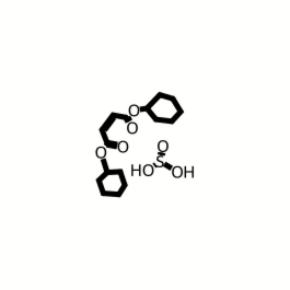 O=C(/C=C\C(=O)OC1CCCCC1)OC1CCCCC1.O=S(O)O